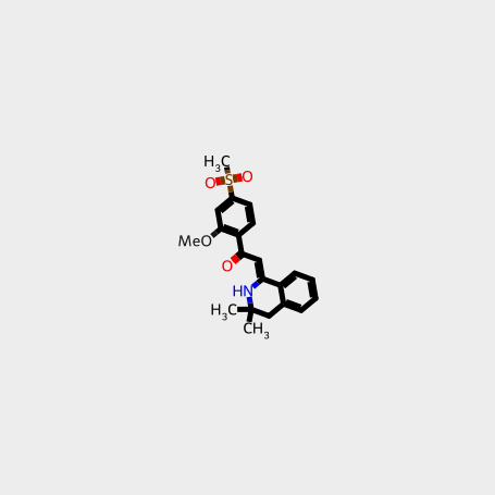 COc1cc(S(C)(=O)=O)ccc1C(=O)C=C1NC(C)(C)Cc2ccccc21